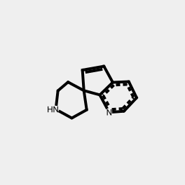 C1=CC2(CCNCC2)c2ncccc21